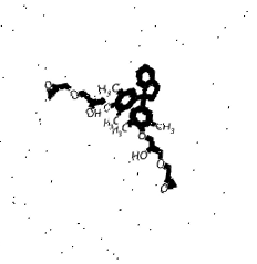 Cc1cc(C2(c3cc(C)c(OCC(O)COCC4CO4)c(C)c3)CCc3ccccc32)cc(C)c1OCC(O)COCC1CO1